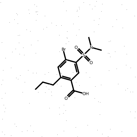 CCCc1cc(Br)c(S(=O)(=O)N(C)C)cc1C(=O)O